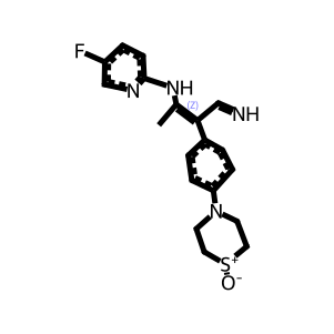 C/C(Nc1ccc(F)cn1)=C(/C=N)c1ccc(N2CC[S+]([O-])CC2)cc1